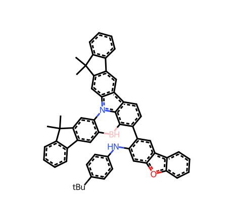 CC(C)(C)c1ccc(Nc2cc3oc4ccccc4c3cc2-c2ccc3c4cc5c(cc4n4c3c2Bc2cc3c(cc2-4)C(C)(C)c2ccccc2-3)C(C)(C)c2ccccc2-5)cc1